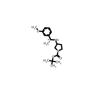 COc1cccc([C@@H](C)NC2CCN(C(=O)OC(C)(C)C)C2)c1